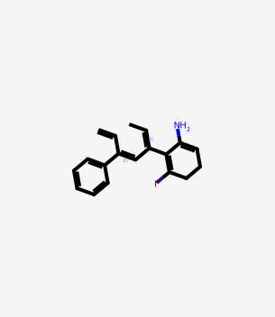 C=C/C(=C\C(=C/C)C1=C(I)CCC=C1N)c1ccccc1